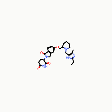 CCc1nc(C)c(CN2CCCCC2COc2ccc3c(c2)CN(C2CCC(=O)NC2=O)C3=O)[nH]1